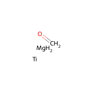 C=O.[MgH2].[Ti]